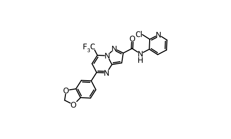 O=C(Nc1cccnc1Cl)c1cc2nc(-c3ccc4c(c3)OCO4)cc(C(F)(F)F)n2n1